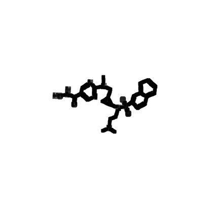 CN(C)CCN(C1CC1CN(C)c1ncc(C(=O)NO)cn1)S(=O)(=O)c1ccc2ccccc2c1